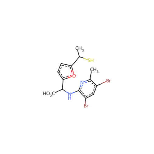 Cc1nc(NC(C(=O)O)c2ccc(C(C)S)o2)c(Br)cc1Br